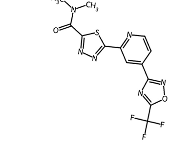 CN(C)C(=O)c1nnc(-c2cc(-c3noc(C(F)(F)F)n3)ccn2)s1